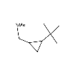 CNCC1CC1C(C)(C)C